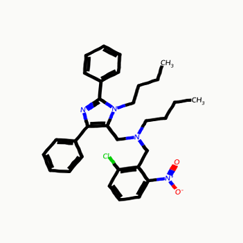 CCCCN(Cc1c(Cl)cccc1[N+](=O)[O-])Cc1c(-c2ccccc2)nc(-c2ccccc2)n1CCCC